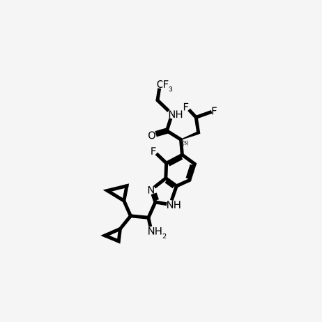 NC(c1nc2c(F)c([C@H](CC(F)F)C(=O)NCC(F)(F)F)ccc2[nH]1)C(C1CC1)C1CC1